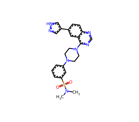 CN(C)S(=O)(=O)c1cccc(N2CCN(c3ncnc4ccc(-c5cn[nH]c5)cc34)CC2)c1